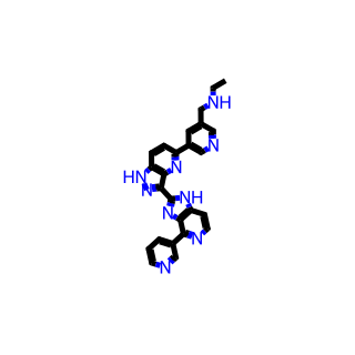 CCNCc1cncc(-c2ccc3[nH]nc(-c4nc5c(-c6cccnc6)nccc5[nH]4)c3n2)c1